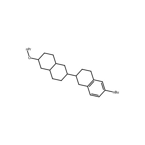 CCCCc1ccc2c(c1)CCC(C1CCC3CC(OCCC)CCC3C1)C2